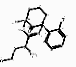 NC(CCO)C1=N[C@@]2(c3ccccc3Cl)CCC[C@@H](O1)C2=O